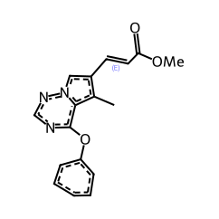 COC(=O)/C=C/c1cn2ncnc(Oc3ccccc3)c2c1C